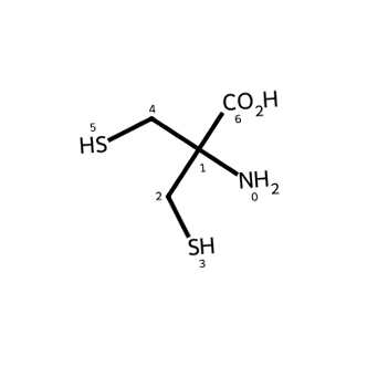 NC(CS)(CS)C(=O)O